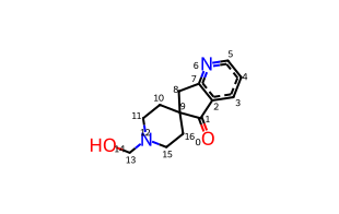 O=C1c2cccnc2CC12CCN(CO)CC2